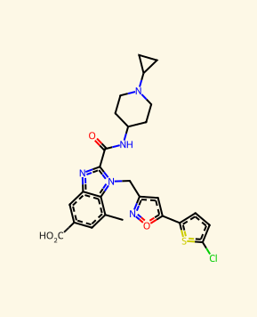 Cc1cc(C(=O)O)cc2nc(C(=O)NC3CCN(C4CC4)CC3)n(Cc3cc(-c4ccc(Cl)s4)on3)c12